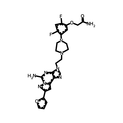 NC(=O)COc1cc(N2CCN(CCn3cnc4c3nc(N)n3nc(-c5ccco5)cc43)CC2)c(F)cc1F